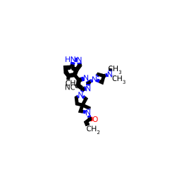 C=CC(=O)N1CC2(CCN(c3nc(N4CC(N(C)C)C4)nc(-c4c(C)ccc5[nH]ncc45)c3C#N)C2)C1